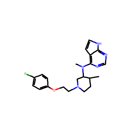 CC1CCN(CCOc2ccc(F)cc2)CC1N(C)c1ncnc2[nH]ccc12